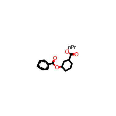 CCCOC(=O)C1CCCC(OC(=O)c2ccccc2)C1